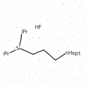 CCCCCCCCCC[Si](C(C)C)C(C)C.F